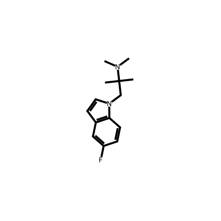 CN(C)C(C)(C)Cn1ccc2cc(F)ccc21